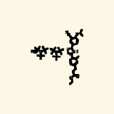 CC(C)(C)P(C(C)(C)C)C(C)(C)C.CC(C)(C)P(C(C)(C)C)C(C)(C)C.CCOC(=O)CCc1ccc(N2CSC(c3ccc(SC(C)C)c(C#N)c3)N2)c(C)c1.[Pd]